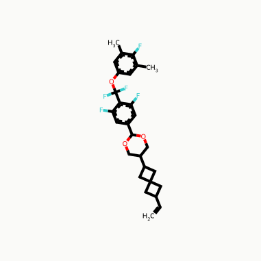 C=CC1CC2(C1)CC(C1COC(c3cc(F)c(C(F)(F)Oc4cc(C)c(F)c(C)c4)c(F)c3)OC1)C2